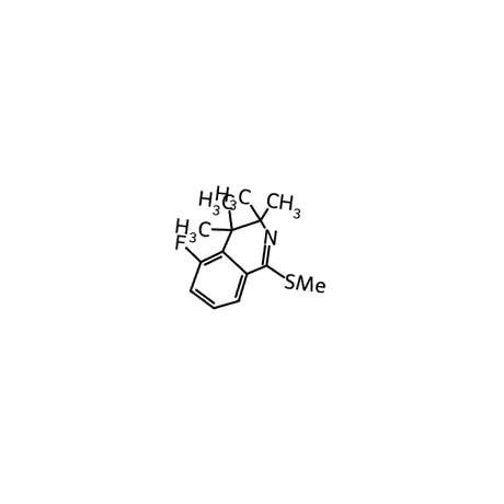 CSC1=NC(C)(C)C(C)(C)c2c(F)cccc21